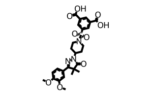 COc1ccc(C2=NN(C3CCN(S(=O)(=O)c4cc(C(=O)O)cc(C(=O)O)c4)CC3)C(=O)C2(C)C)cc1OC